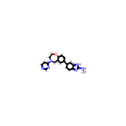 CCNc1nc2ccc(-c3ccc4c(c3)CN(c3ccncn3)CCO4)cc2[nH]1